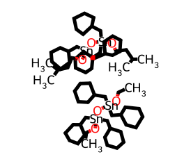 CC(C)CC[O][Sn]([CH2]C1CCCCC1)([CH2]C1CCCCC1)[O][Sn]([CH2]C1CCCCC1)([CH2]C1CCCCC1)[O]CCC(C)C.CC[O][Sn]([CH2]C1CCCCC1)([CH2]C1CCCCC1)[O][Sn]([CH2]C1CCCCC1)([CH2]C1CCCCC1)[O]CC